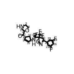 O=C(C1CNCCO1)[C@@H]1C=C[C@H](NC(=O)C2(C(F)(F)F)CC(c3cc(F)cc(F)c3)=NO2)C1